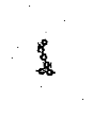 Cc1ccc2c3ccc(C)cc3c3nc(-c4ccc(-c5ccc6sc7ccccc7c6c5)cc4)cnc3c2c1